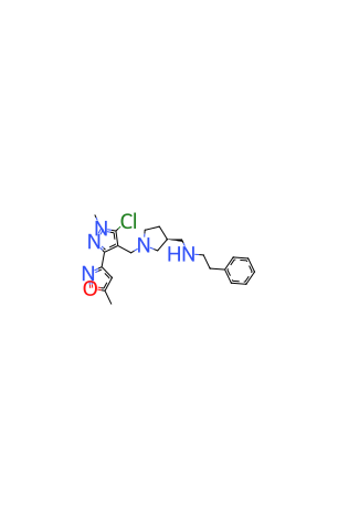 Cc1cc(-c2nn(C)c(Cl)c2CN2CC[C@@H](CNCCc3ccccc3)C2)no1